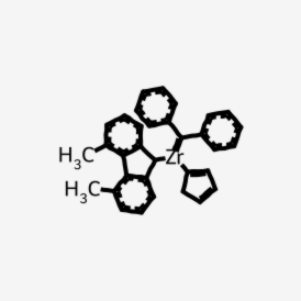 Cc1cccc2c1-c1c(C)cccc1[CH]2[Zr]([C]1=CC=CC1)=[C](c1ccccc1)c1ccccc1